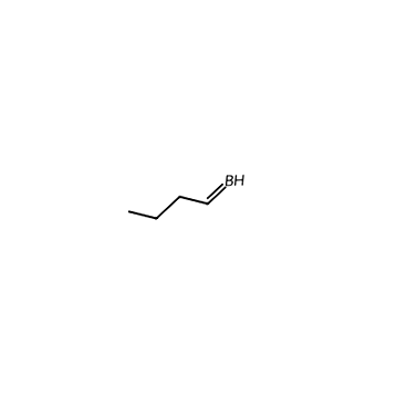 B=CCCC